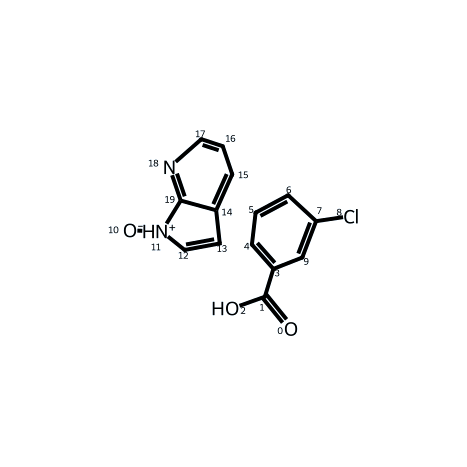 O=C(O)c1cccc(Cl)c1.[O-][NH+]1C=Cc2cccnc21